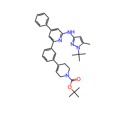 Cc1cc(Nc2cc(-c3ccccc3)cc(-c3cccc(C4=CCN(C(=O)OC(C)(C)C)CC4)c3)n2)nn1C(C)(C)C